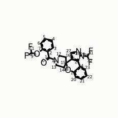 O=C(c1ccccc1OC(F)F)N1CCC2(CC1)Oc1ccccc1-c1c2cnn1C(F)F